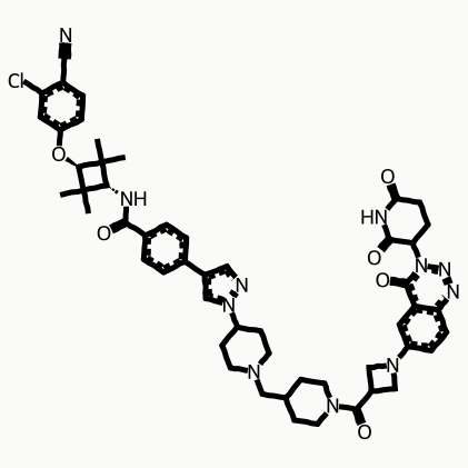 CC1(C)[C@H](NC(=O)c2ccc(-c3cnn(C4CCN(CC5CCN(C(=O)C6CN(c7ccc8nnn(C9CCC(=O)NC9=O)c(=O)c8c7)C6)CC5)CC4)c3)cc2)C(C)(C)[C@H]1Oc1ccc(C#N)c(Cl)c1